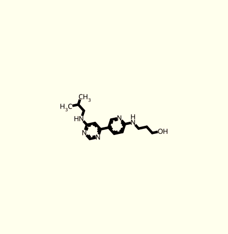 CC(C)CNc1cc(-c2ccc(NCCCO)nc2)ncn1